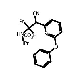 CC(C)NC(C(=O)O)(C(C)C)C(C#N)c1cccc(Oc2ccccc2)n1